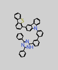 c1ccc(C2=NC(c3cccc(-c4cccc(-n5c6ccccc6c6cc(-c7cccc8c7sc7ccccc78)ccc65)c4)c3)NC(c3ccccc3)=N2)cc1